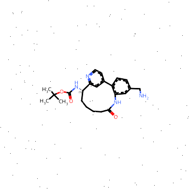 CC(C)(C)OC(=O)N[C@H]1CCCCC(=O)Nc2cc(CN)ccc2-c2ccnc1c2